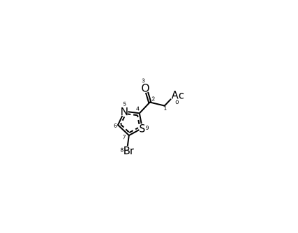 CC(=O)CC(=O)c1ncc(Br)s1